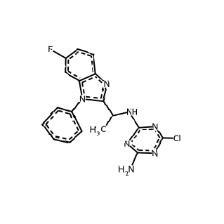 CC(Nc1nc(N)nc(Cl)n1)c1nc2ccc(F)cc2n1-c1ccccc1